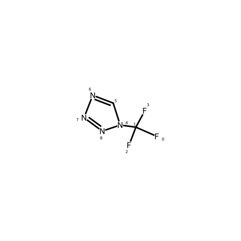 FC(F)(F)n1cnnn1